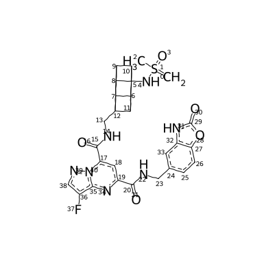 C=S(C)(=O)NC12C3C4C1C1C2C3C41CNC(=O)c1cc(C(=O)NCc2ccc3oc(=O)[nH]c3c2)nc2c(F)cnn12